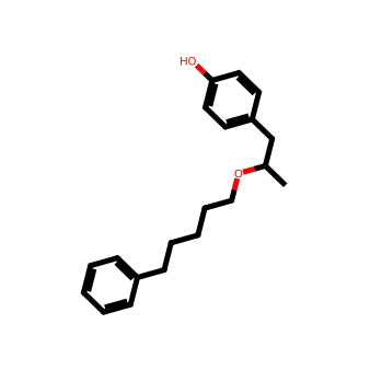 CC(Cc1ccc(O)cc1)OCCCCCc1ccccc1